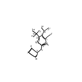 Cc1nc(CC2CCC2)nc(C(C)(C)C)c1C(C)C